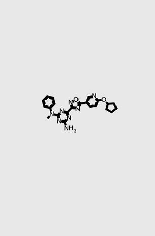 CN(c1ccccc1)c1nc(N)nc(-c2noc(-c3ccc(OC4CCCC4)nc3)n2)n1